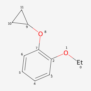 CCOc1[c]cccc1OC1CC1